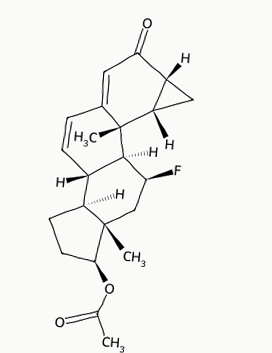 CC(=O)O[C@H]1CC[C@H]2[C@@H]3C=CC4=CC(=O)[C@@H]5C[C@@H]5[C@]4(C)[C@H]3[C@@H](F)C[C@]12C